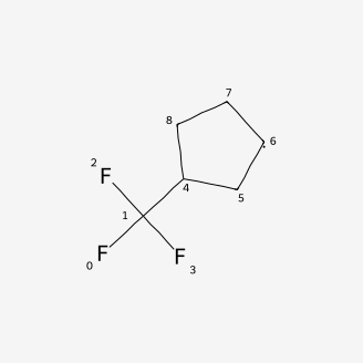 FC(F)(F)C1C[CH]CC1